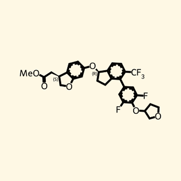 COC(=O)C[C@@H]1COc2cc(O[C@@H]3CCc4c3ccc(C(F)(F)F)c4-c3cc(F)c(OC4CCOC4)c(F)c3)ccc21